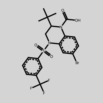 CC(C)(C)C1CN(S(=O)(=O)c2cccc(C(F)(F)F)c2)c2cc(Br)ccc2N1C(=O)O